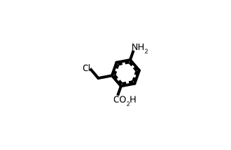 Nc1ccc(C(=O)O)c(CCl)c1